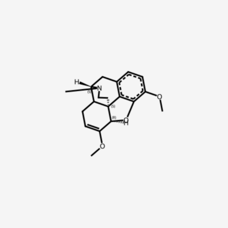 COC1=CCC2[C@@H]3Cc4ccc(OC)c5c4[C@@]2(CCN3C)[C@H]1O5